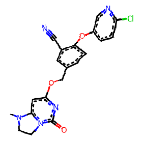 CN1CCn2c1cc(OCc1ccc(Oc3ccc(Cl)nc3)c(C#N)c1)nc2=O